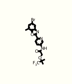 Cc1cc(Br)cc2nc(-c3ccc(NC(=O)COC(C)(C)C(F)(F)F)cn3)oc12